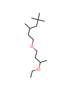 CCOC(C)CCOCCC(C)CC(C)(C)C